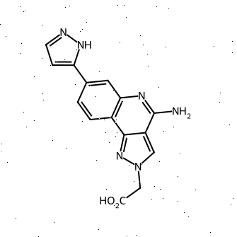 Nc1nc2cc(-c3ccn[nH]3)ccc2c2nn(CC(=O)O)cc12